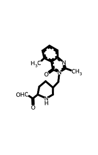 Cc1cccc2nc(C)n(CC3CCC(C(=O)C=O)NC3)c(=O)c12